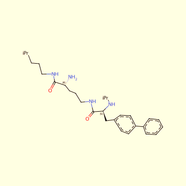 CC(C)CCCNC(=O)[C@H](N)CCCNC(=O)[C@H](Cc1ccc(-c2ccccc2)cc1)NC(C)C